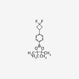 CC1(C)OB(c2ccc(C3CC(F)(F)C3)cc2)OC1(C)C